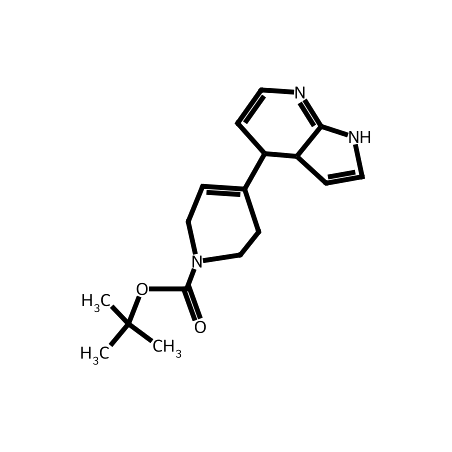 CC(C)(C)OC(=O)N1CC=C(C2C=CN=C3NC=CC32)CC1